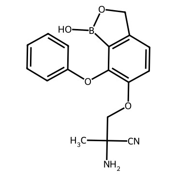 CC(N)(C#N)COc1ccc2c(c1Oc1ccccc1)B(O)OC2